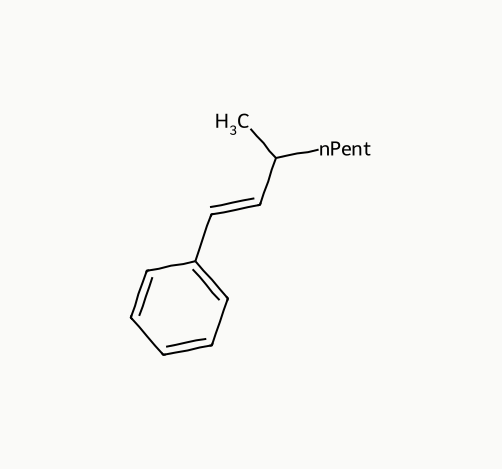 CCCCCC(C)C=Cc1ccccc1